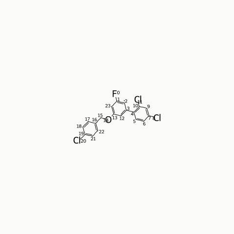 Fc1[c]c(-c2ccc(Cl)cc2Cl)cc(OCc2ccc(Cl)cc2)c1